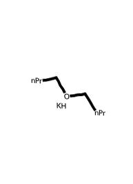 CCCCOCCCC.[KH]